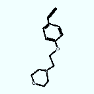 C=Cc1ccc(OCCN2CCOCC2)cc1